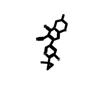 CC1CSc2cc(-c3cnc(C4(C)CC4)c(F)c3)c(C#N)c(=O)n2C1